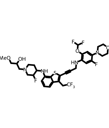 COCC(O)CN1CCC(Nc2cccc3c(CC(F)(F)F)c(C#CCNc4cc(F)c(N5CCOCC5)cc4OC(F)F)sc23)C(F)C1